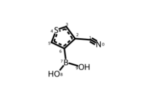 N#Cc1cscc1B(O)O